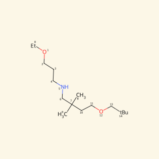 CCOCCCNCC(C)(C)CCOCC(C)(C)C